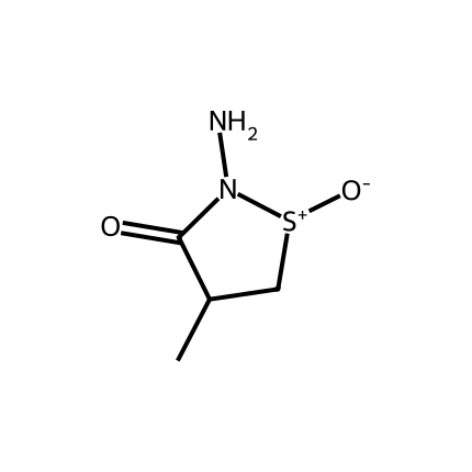 CC1C[S+]([O-])N(N)C1=O